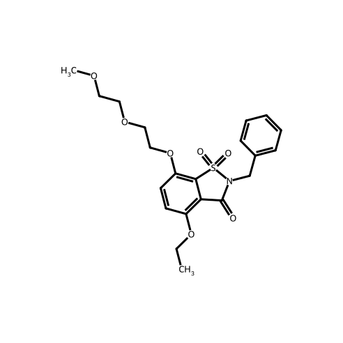 CCOc1ccc(OCCOCCOC)c2c1C(=O)N(Cc1ccccc1)S2(=O)=O